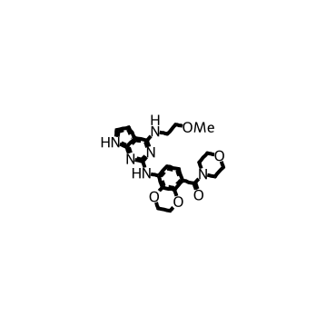 COCCNc1nc(Nc2ccc(C(=O)N3CCOCC3)c3c2OCCO3)nc2[nH]ccc12